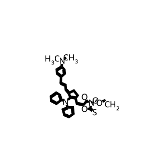 C=COON1C(=O)/C(=C\C2=C(N(c3ccccc3)c3ccccc3)C(=C/C=C/c3ccc(N(C)C)cc3)/CC2)OC1=S